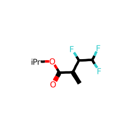 C=C(C(=O)OC(C)C)C(F)C(F)F